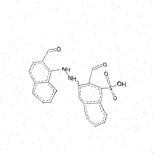 NNc1c(C=O)ccc2ccccc12.O=Cc1ccc2ccccc2c1S(=O)(=O)O